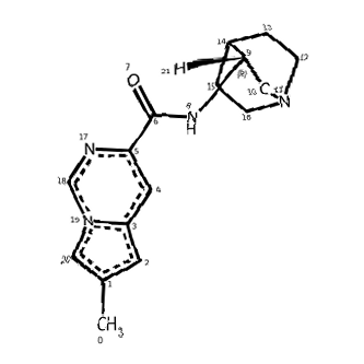 Cc1cc2cc(C(=O)N[C@H]3CN4CCC3CC4)ncn2c1